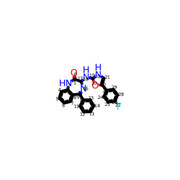 O=C1Nc2ccccc2C(c2ccccc2)=NC1NC1NC=C(c2ccc(F)cc2)O1